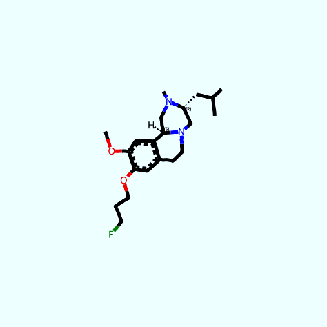 COc1cc2c(cc1OCCCF)CCN1C[C@@H](CC(C)C)N(C)C[C@H]21